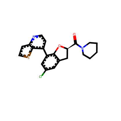 O=C([C@H]1Cc2cc(Cl)cc(-c3ccnc4ccsc34)c2O1)N1CCCCC1